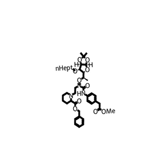 CCCCCCCO[C@@H]1[C@H]2OC(C)(C)O[C@H]2O[C@@H]1[C@@H](C)ON(CCN1CCCCC1C(=O)OCc1ccccc1)C(=O)Nc1ccc(CC(=O)OC)cc1